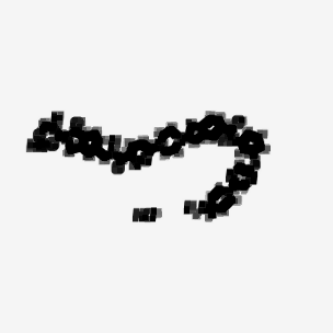 CC1(N)C=CN(c2cnc(Sc3cccc(NC(=O)c4ccc5c(c4)CC(N4CCN(c6ccc(C(=O)NCc7ccc8c(c7)CN(C7NCONO7)C8=O)nn6)CC4)C5)c3)cn2)C=C1.Cl